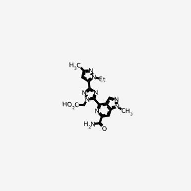 CCn1nc(C)cc1-c1nc(-c2nc(C(N)=O)cc3c2cnn3C)n(CC(=O)O)n1